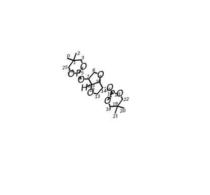 CC1(C)COP(OC2COC3[C@@H]2OC[C@H]3OP2OCC(C)(C)CO2)OC1